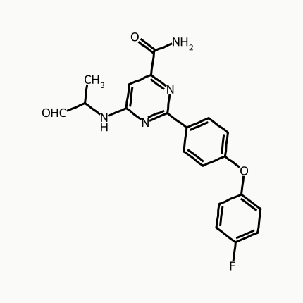 CC(C=O)Nc1cc(C(N)=O)nc(-c2ccc(Oc3ccc(F)cc3)cc2)n1